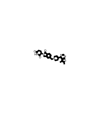 Cc1sc2ncnc(C3=CCN(Cc4ccc5c(c4)CN(C4CCC(=O)NC4=O)C5=O)CC3)c2c1C